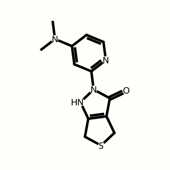 CN(C)c1ccnc(-n2[nH]c3c(c2=O)CSC3)c1